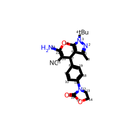 Cc1nn(C(C)(C)C)c2c1C(c1ccc(N3CCOC3=O)cc1)C(C#N)=C(N)O2